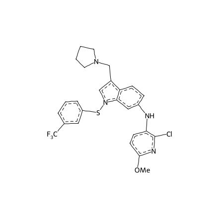 COc1ccc(Nc2ccc3c(CN4CCCC4)cn(Sc4cccc(C(F)(F)F)c4)c3c2)c(Cl)n1